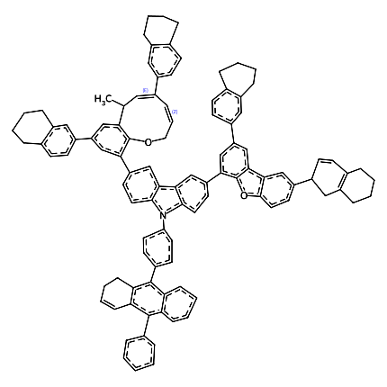 CC1/C=C(c2ccc3c(c2)CCCC3)\C=C/COc2c(-c3ccc4c(c3)c3cc(-c5cc(-c6ccc7c(c6)CCCC7)cc6c5oc5ccc(C7C=CC8=C(CCCC8)C7)cc56)ccc3n4-c3ccc(-c4c5c(c(-c6ccccc6)c6ccccc46)C=CCC5)cc3)cc(-c3ccc4c(c3)CCCC4)cc21